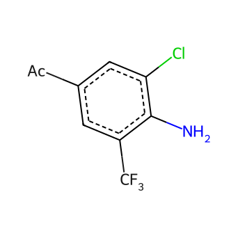 CC(=O)c1cc(Cl)c(N)c(C(F)(F)F)c1